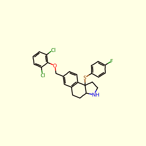 Fc1ccc(SC23CCNC2CCc2cc(COc4c(Cl)cccc4Cl)ccc23)cc1